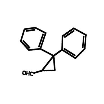 O=CC1CC1(c1ccccc1)c1ccccc1